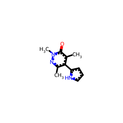 Cc1nn(C)c(=O)c(C)c1-c1ccc[nH]1